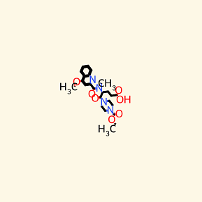 CCOC(=O)N1CCN(C(=O)C(CCC(=O)O)N(C)C(=O)c2cc(OC)c3ccccc3n2)CC1